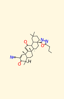 CCCc1nnc([C@]23CCC(C)(C)CC2C2C(=O)C=C4[C@@]5(C)C=C(C#N)C(=O)C(C)(C)[C@@H]5CC[C@@]4(C)[C@]2(C)CC3)o1